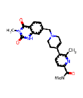 CNC(=O)c1ccc(C2=CCN(Cc3ccc4c(=O)n(C)c(=O)[nH]c4c3)CC2)c(C)n1